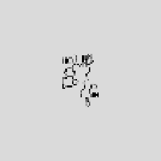 CC[C@@](O)(Cn1nncc1CCCCC1CCC(=O)NC1=O)c1ccc(F)c(OCC2CC2)c1